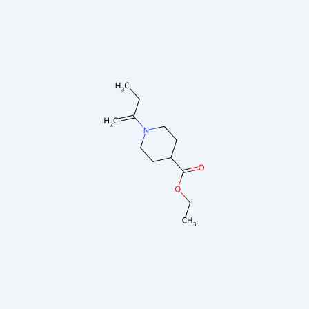 C=C(CC)N1CCC(C(=O)OCC)CC1